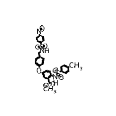 COC(=O)c1cc(Oc2ccc(CNS(=O)(=O)c3ccc(N=O)cc3)cc2)ccc1NS(=O)(=O)c1ccc(C)cc1